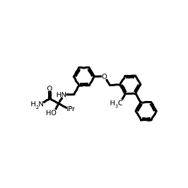 Cc1c(COc2cccc(CNC(O)(C(N)=O)C(C)C)c2)cccc1-c1ccccc1